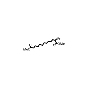 COC(=O)CCCCCCCCCCC(C(=O)OC)C(C)C